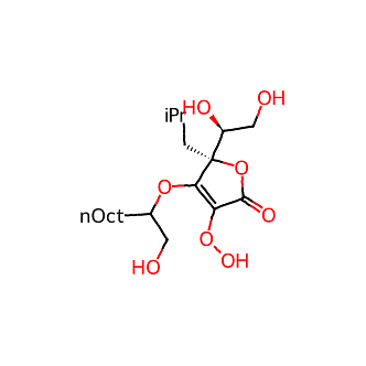 CCCCCCCCC(CO)OC1=C(OO)C(=O)O[C@]1(CC(C)C)[C@@H](O)CO